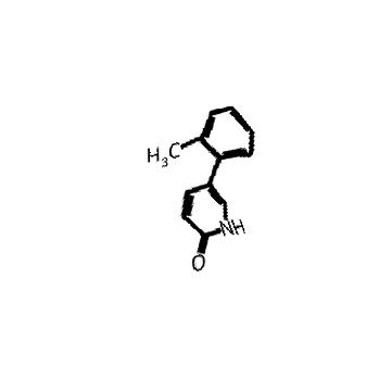 Cc1ccccc1-c1ccc(=O)[nH]c1